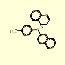 Cc1ccc(N(c2ccc3ccccc3c2)[C@H]2CC=Cc3ccccc32)cc1